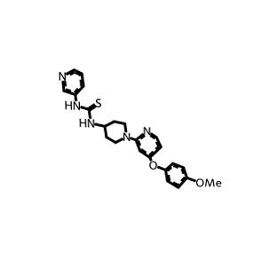 COc1ccc(Oc2ccnc(N3CCC(NC(=S)Nc4cccnc4)CC3)c2)cc1